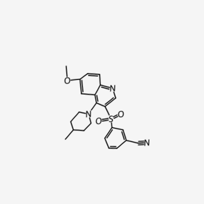 COc1ccc2ncc(S(=O)(=O)c3cccc(C#N)c3)c(N3CCC(C)CC3)c2c1